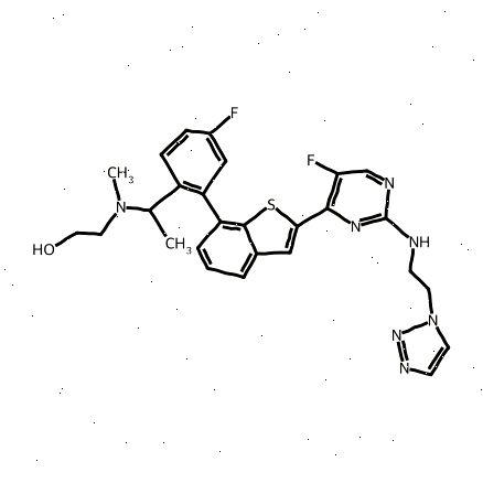 CC(c1ccc(F)cc1-c1cccc2cc(-c3nc(NCCn4ccnn4)ncc3F)sc12)N(C)CCO